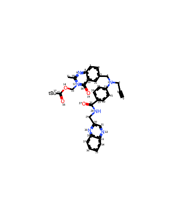 C#CCN(Cc1ccc2nc(C)n(COC(=O)C(C)(C)C)c(=O)c2c1)c1ccc(C(=O)NCc2cnc3ccccc3n2)cc1